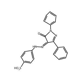 O=C1C(=NNc2ccc(S(=O)(=O)O)cc2)C(c2ccccc2)=NN1c1ccccc1